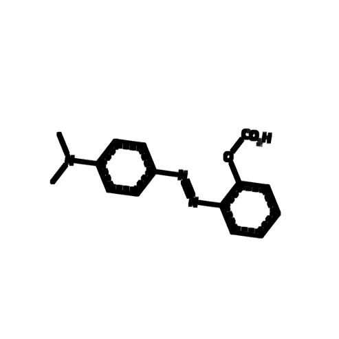 CN(C)c1ccc(N=Nc2ccccc2OC(=O)O)cc1